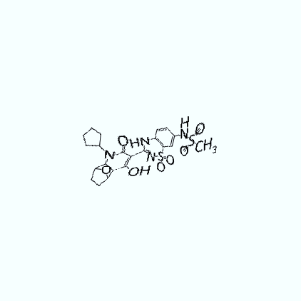 CS(=O)(=O)Nc1ccc2c(c1)S(=O)(=O)N=C(C1=C(O)C3C4CCC(O4)C3N(C3CCCC3)C1=O)N2